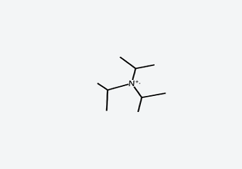 CC(C)[N+](C(C)C)C(C)C